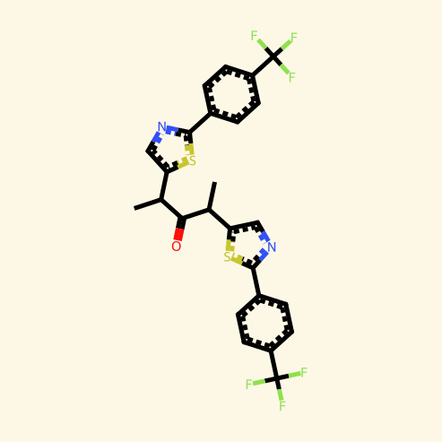 CC(C(=O)C(C)c1cnc(-c2ccc(C(F)(F)F)cc2)s1)c1cnc(-c2ccc(C(F)(F)F)cc2)s1